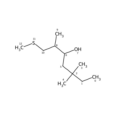 CCC(C)(C)CC(O)C(C)CSC